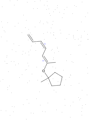 C=C/C=C\C=C(/C)OC1(C)CCCC1